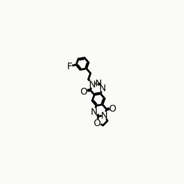 O=c1c2cc3nc4n(c(=O)c3cc2nnn1CCc1cccc(F)c1)CCO4